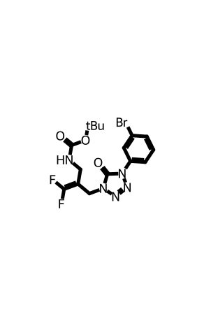 CC(C)(C)OC(=O)NCC(Cn1nnn(-c2cccc(Br)c2)c1=O)=C(F)F